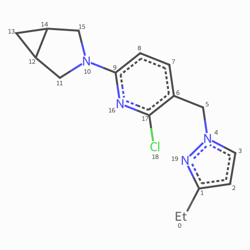 CCc1ccn(Cc2ccc(N3CC4CC4C3)nc2Cl)n1